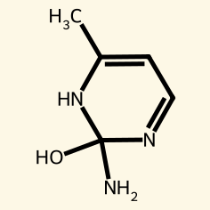 CC1=CC=NC(N)(O)N1